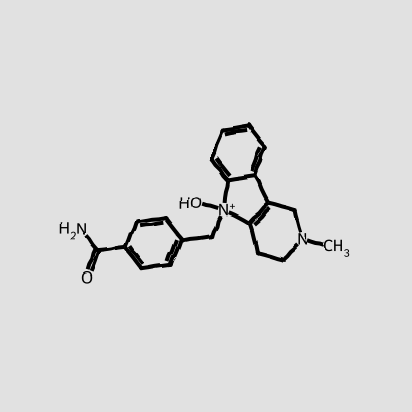 CN1CCC2=C(C1)c1ccccc1[N+]2(O)Cc1ccc(C(N)=O)cc1